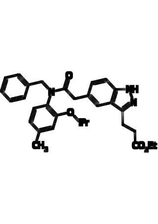 CCOC(=O)CCc1n[nH]c2ccc(CC(=O)N(Cc3ccccc3)c3ccc(C)cc3OC(C)C)cc12